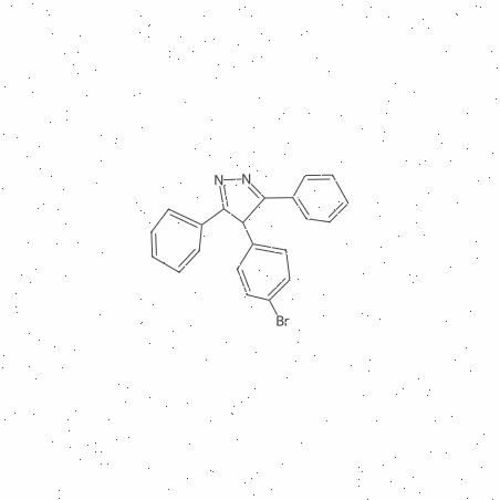 Brc1ccc(C2C(c3ccccc3)=NN=C2c2ccccc2)cc1